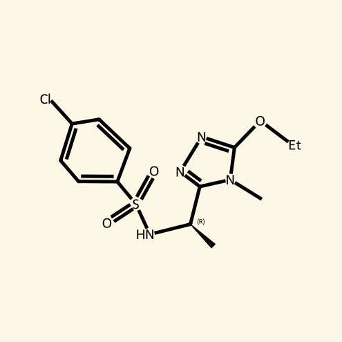 CCOc1nnc([C@@H](C)NS(=O)(=O)c2ccc(Cl)cc2)n1C